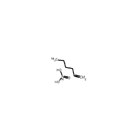 C=CCCCC.O=[PH](O)O